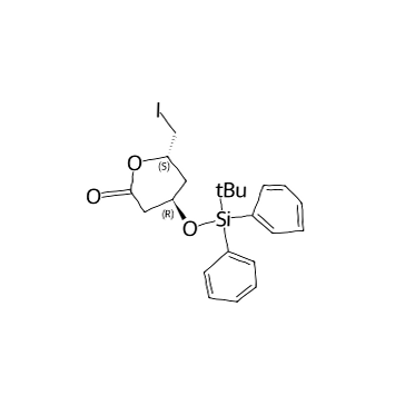 CC(C)(C)[Si](O[C@H]1CC(=O)O[C@H](CI)C1)(c1ccccc1)c1ccccc1